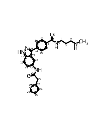 CNCCCNC(=O)c1ccc(-c2n[nH]c3ccc(NC(=O)Cc4cccs4)cc23)cc1